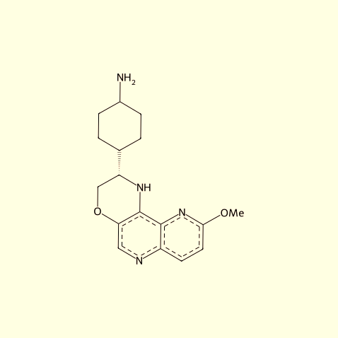 COc1ccc2ncc3c(c2n1)N[C@@H](C1CCC(N)CC1)CO3